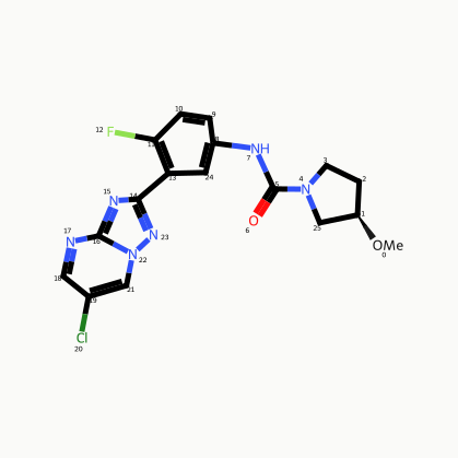 CO[C@@H]1CCN(C(=O)Nc2ccc(F)c(-c3nc4ncc(Cl)cn4n3)c2)C1